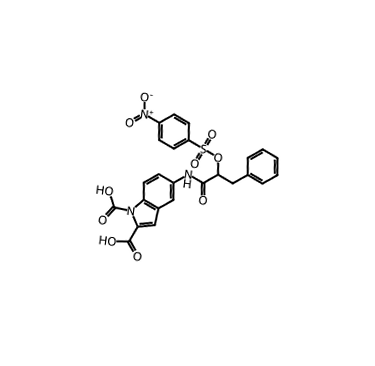 O=C(O)c1cc2cc(NC(=O)C(Cc3ccccc3)OS(=O)(=O)c3ccc([N+](=O)[O-])cc3)ccc2n1C(=O)O